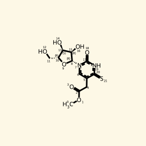 COC(=O)Cc1cn([C@@H]2O[C@H](CO)[C@@H](O)[C@H]2O)c(=O)[nH]c1=S